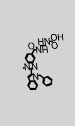 Cn1c(-c2cc3ccccc3n2Cc2ccccc2)nc2cc(C(=O)NCCNC(=O)O)ccc21